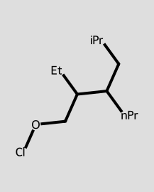 CCCC(CC(C)C)C(CC)COCl